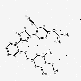 CC(C)Oc1ccc(-c2nc(-c3ccccc3CCC(CC=O)CN(C)CCO)no2)c(C#N)c1